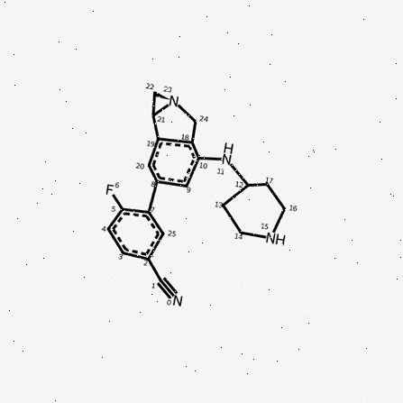 N#Cc1ccc(F)c(-c2cc(NC3CCNCC3)c3c(c2)C2C[N@@]2C3)c1